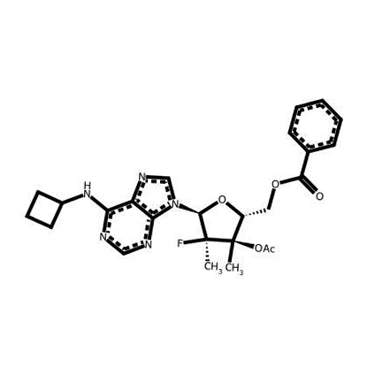 CC(=O)O[C@]1(C)[C@@H](COC(=O)c2ccccc2)O[C@H](n2cnc3c(NC4CCC4)ncnc32)[C@]1(C)F